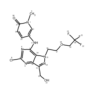 Cn1cc(Nc2nc(Cl)nc3c(CO)nn(CCOCC(F)(F)F)c23)ccc1=O